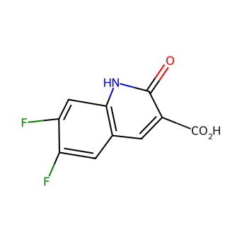 O=C(O)c1cc2cc(F)c(F)cc2[nH]c1=O